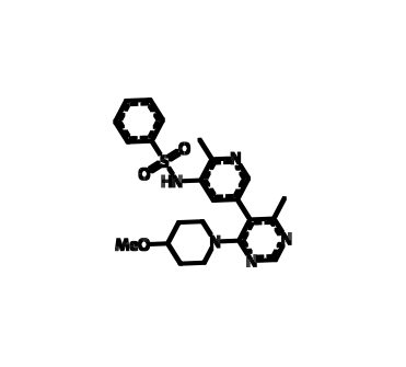 COC1CCN(c2ncnc(C)c2-c2cnc(C)c(NS(=O)(=O)c3ccccc3)c2)CC1